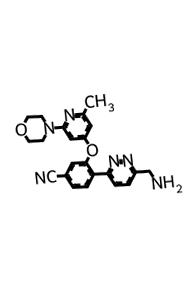 Cc1cc(Oc2cc(C#N)ccc2-c2ccc(CN)nn2)cc(N2CCOCC2)n1